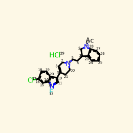 CC(=O)N1CC(CCN2CC=C(c3cn(F)c4cc(Cl)ccc34)CC2)c2ccccc21.Cl